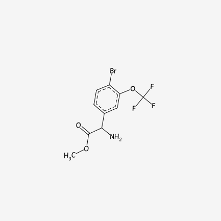 COC(=O)C(N)c1ccc(Br)c(OC(F)(F)F)c1